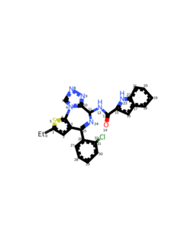 CCc1cc2c(s1)-n1cnnc1C(NC(=O)c1cc3ccccc3[nH]1)N=C2c1ccccc1Cl